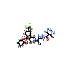 Cc1ncnc(C)c1C(=O)NCCC(C)N1CCC(C2(c3ccc(C(F)(F)F)cc3)Oc3ccccc3O2)CC1